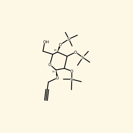 C#CCO[C@H]1OC(CO)[C@@H](O[Si](C)(C)C)C(O[Si](C)(C)C)C1O[Si](C)(C)C